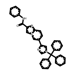 O=C(Nc1ccccc1)c1cn2cc(-c3cn(C(c4ccccc4)(c4ccccc4)c4ccccc4)cn3)ccc2n1